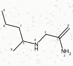 C=C(N)CNC(C)CCC